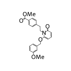 COC(=O)c1ccc(CCn2c(OCc3cccc(OC)c3)cccc2=O)cc1